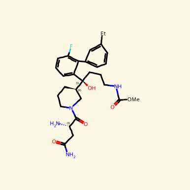 CCc1cccc(-c2c(F)cccc2[C@](O)(CCCNC(=O)OC)[C@@H]2CCCN(C(=O)[C@@H](N)CC(N)=O)C2)c1